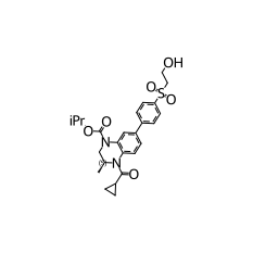 CC(C)OC(=O)N1C[C@H](C)N(C(=O)C2CC2)c2ccc(-c3ccc(S(=O)(=O)CCO)cc3)cc21